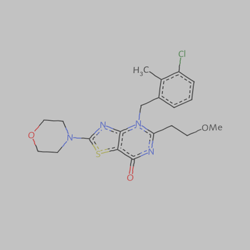 COCCc1nc(=O)c2sc(N3CCOCC3)nc2n1Cc1cccc(Cl)c1C